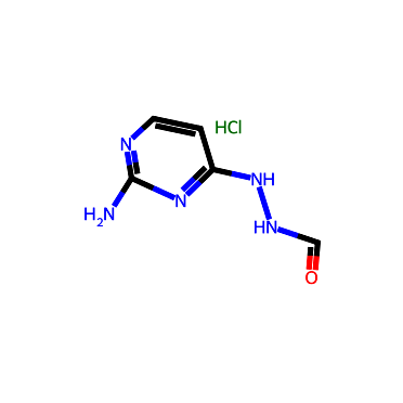 Cl.Nc1nccc(NNC=O)n1